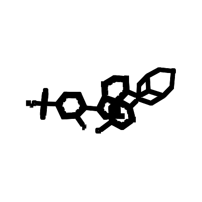 CS(=O)(=O)c1ccc(-c2c[nH]c3c(OC4C5COCC4CN(c4ncc(Cl)cn4)C5)ncnc23)c(F)c1